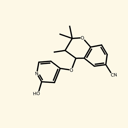 CC1C(Oc2ccnc(O)c2)c2cc(C#N)ccc2OC1(C)C